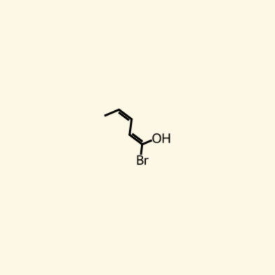 C/C=C\C=C(/O)Br